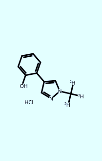 Cl.[2H]C([2H])([2H])n1cc(-c2ccccc2O)cn1